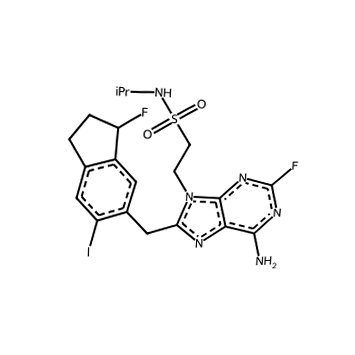 CC(C)NS(=O)(=O)CCn1c(Cc2cc3c(cc2I)CCC3F)nc2c(N)nc(F)nc21